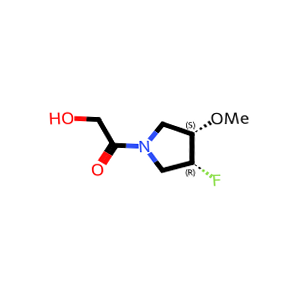 CO[C@H]1CN(C(=O)CO)C[C@H]1F